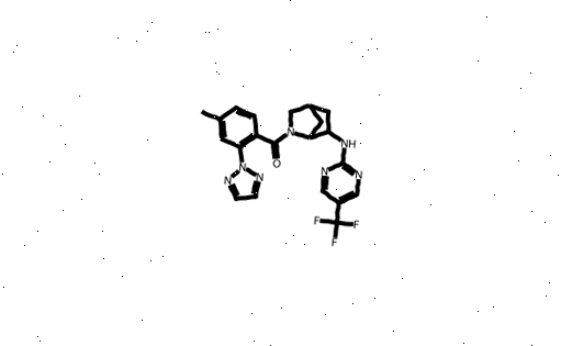 Cc1ccc(C(=O)N2CC3CC(Nc4ncc(C(F)(F)F)cn4)C2C3)c(-n2nccn2)c1